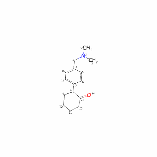 CN(C)Cc1ccc(C2CCCCC2=O)cc1